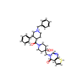 O=C(C1CCN(Cc2ccccc2)CC1c1ccccc1)N1CCC(O)(Cn2cnc3sccc3c2=O)CC1